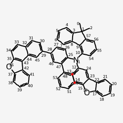 CC1(C)c2ccccc2-c2c(N(c3ccc4oc5ccccc5c4c3)c3ccc(-c4ccc5ccc6oc7ccccc7c6c5c4)cc3-c3ccccc3)cccc21